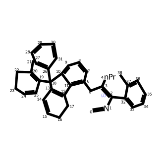 C=N/C(=C(/CCC)Cc1cccc2c1C1=C(C=CCC1)C2(C1=C(C)CCC=C1)c1ccccc1)c1ccccc1C